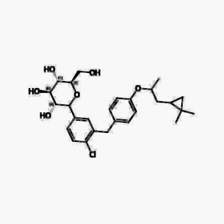 CC(CC1CC1(C)C)Oc1ccc(Cc2cc(C3O[C@H](CO)[C@@H](O)[C@H](O)[C@H]3O)ccc2Cl)cc1